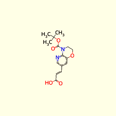 CC(C)(C)OC(=O)N1CCOc2cc(/C=C/C(=O)O)cnc21